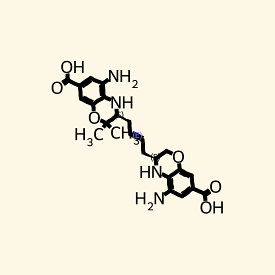 CC1(C)Oc2cc(C(=O)O)cc(N)c2N[C@H]1C/C=C/C[C@H]1COc2cc(C(=O)O)cc(N)c2N1